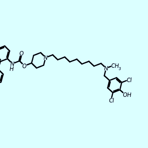 CN(CCCCCCCCCN1CCC(OC(=O)Nc2ccccc2-c2ccccc2)CC1)Cc1cc(Cl)c(O)c(Cl)c1